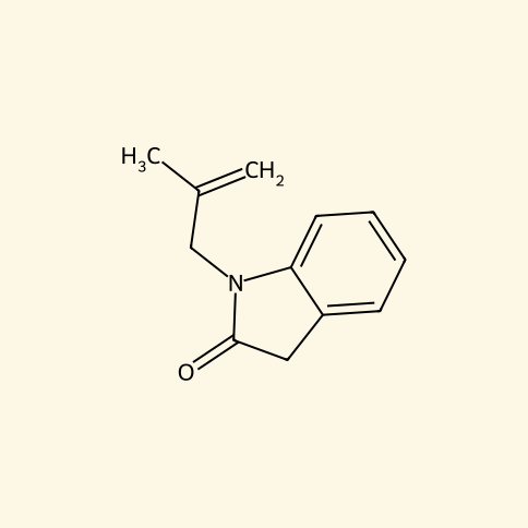 C=C(C)CN1C(=O)Cc2ccccc21